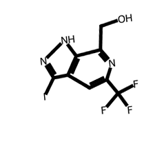 OCc1nc(C(F)(F)F)cc2c(I)n[nH]c12